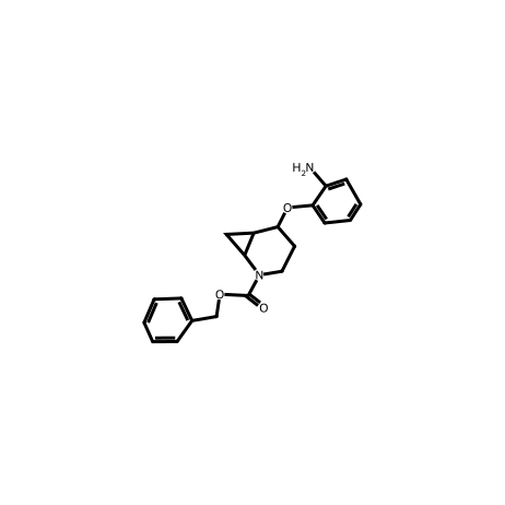 Nc1ccccc1OC1CCN(C(=O)OCc2ccccc2)C2CC12